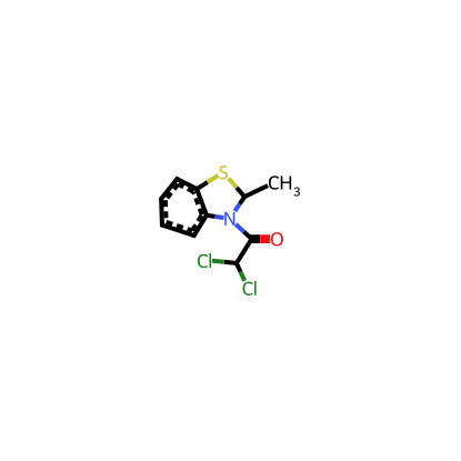 CC1Sc2ccccc2N1C(=O)C(Cl)Cl